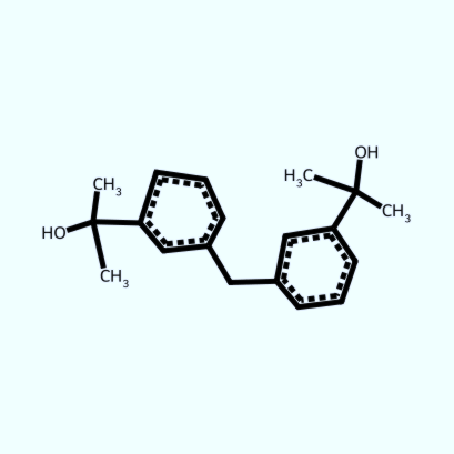 CC(C)(O)c1cccc(Cc2cccc(C(C)(C)O)c2)c1